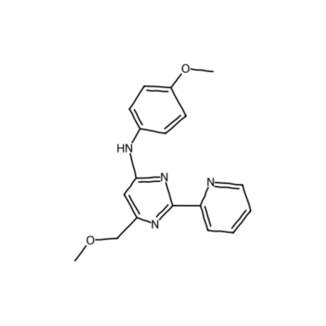 COCc1cc(Nc2ccc(OC)cc2)nc(-c2ccccn2)n1